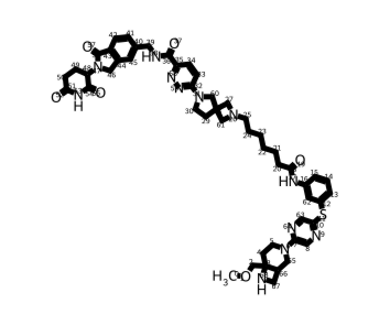 COCC12CCN(c3cnc(Sc4cccc(NC(=O)CCCCCCN5CC6(CCN(c7ccc(C(=O)NCc8ccc9c(c8)CN(C8CCC(=O)NC8=O)C9=O)nn7)C6)C5)c4)cn3)CC1CN2